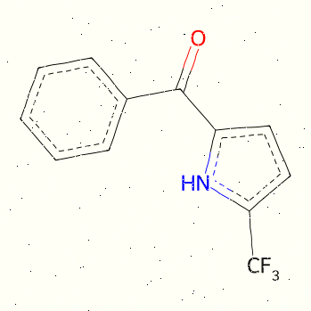 O=C(c1ccccc1)c1ccc(C(F)(F)F)[nH]1